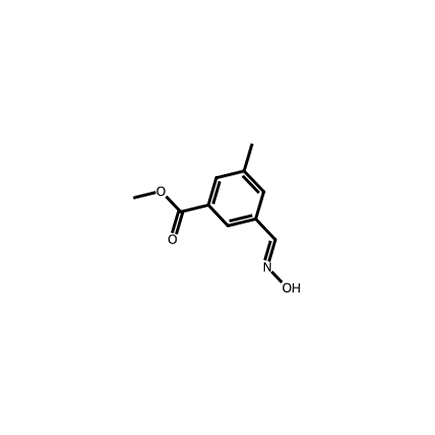 COC(=O)c1cc(C)cc(/C=N/O)c1